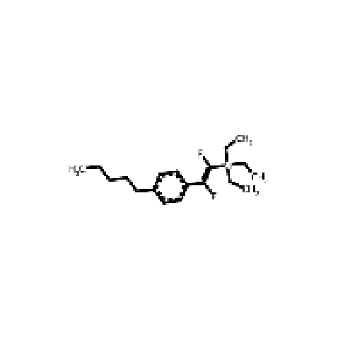 CCCCCc1ccc(/C(F)=C(\F)[Si](CC)(CC)CC)cc1